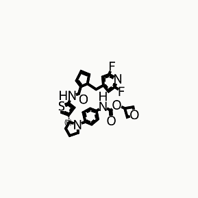 O=C(Nc1ccc(N2CCC[C@@H]2c2csc(NC(=O)C3=CC=CC3Cc3cc(F)nc(F)c3)c2)cc1)OC1COC1